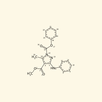 COC(=O)c1c(Nc2ccccc2)nn(C(=O)Oc2ccccc2)c1C